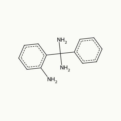 Nc1ccccc1C(N)(N)c1ccccc1